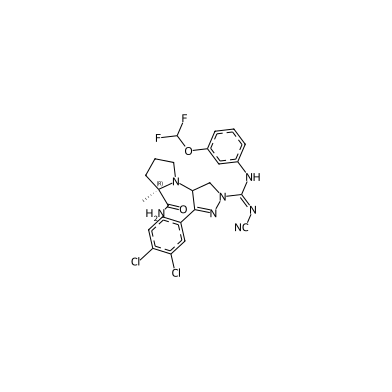 C[C@]1(C(N)=O)CCCN1C1CN(C(=NC#N)Nc2cccc(OC(F)F)c2)N=C1c1ccc(Cl)c(Cl)c1